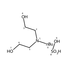 CCCCN(CCO)CCO.O=S(=O)(O)O